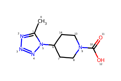 Cc1nnnn1C1CCN(C(=O)O)CC1